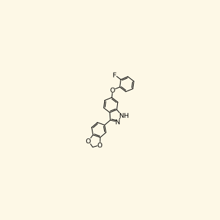 Fc1ccccc1Oc1ccc2c(-c3ccc4c(c3)OCO4)n[nH]c2c1